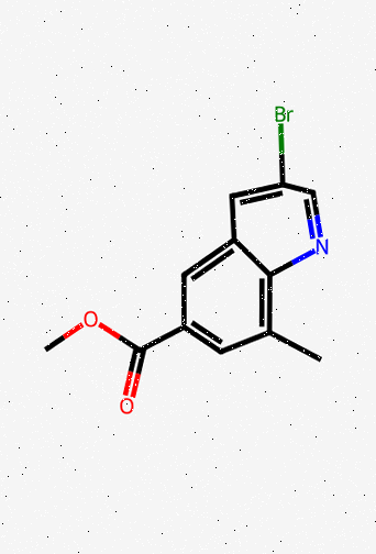 COC(=O)c1cc(C)c2ncc(Br)cc2c1